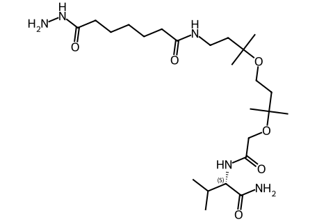 CC(C)[C@H](NC(=O)COC(C)(C)CCOC(C)(C)CCNC(=O)CCCCCC(=O)NN)C(N)=O